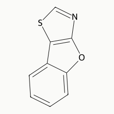 c1ccc2c(c1)oc1ncsc12